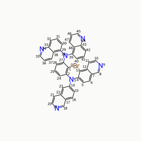 Brc1c(N(c2ccc3cnccc3c2)c2ccc3cnccc3c2)cccc1N(c1cccc2ncccc12)c1cccc2ncccc12